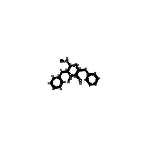 CC(C)COc1nc(=Cc2ccccc2)c(=O)n(C)c1=Cc1ccccc1